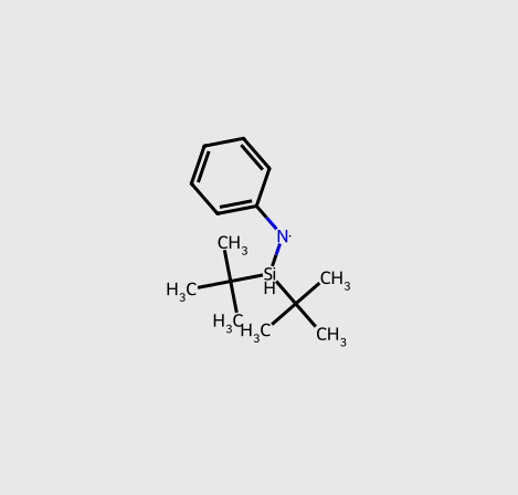 CC(C)(C)[SiH]([N]c1ccccc1)C(C)(C)C